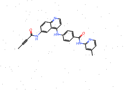 CC#CC(=O)Nc1ccc2nccc(Nc3ccc(C(=O)Nc4cc(C)ccn4)cc3)c2c1